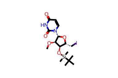 CO[C@@H]1[C@H](O[Si](C)(C)C(C)(C)C)[C@@H](CI)O[C@H]1n1ccc(=O)[nH]c1=O